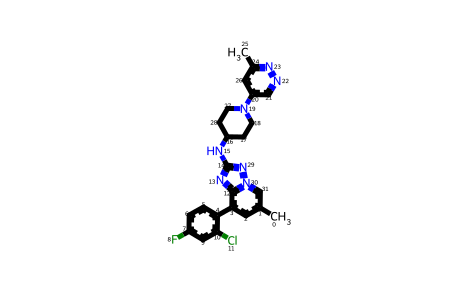 Cc1cc(-c2ccc(F)cc2Cl)c2nc(NC3CCN(c4cnnc(C)c4)CC3)nn2c1